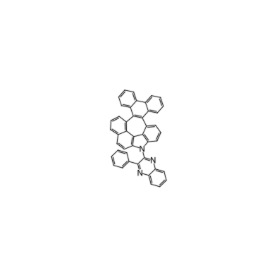 c1ccc(-c2nc3ccccc3nc2-n2c3cccc4c3c3c5c(cccc5ccc32)-c2c-4c3ccccc3c3ccccc23)cc1